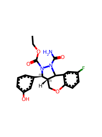 CCOC(=O)N1[C@H](c2cccc(O)c2)[C@H]2COc3ccc(F)cc3C2N1C(N)=O